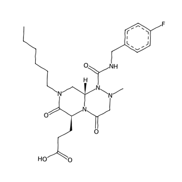 CCCCCCN1C[C@H]2N(C(=O)CN(C)N2C(=O)NCc2ccc(F)cc2)[C@@H](CCC(=O)O)C1=O